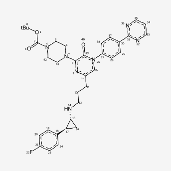 CC(C)(C)OC(=O)N1CCN(c2nc(CCCN[C@@H]3C[C@H]3c3ccc(F)cc3)cn(-c3ccc(-c4ncccn4)cc3)c2=O)CC1